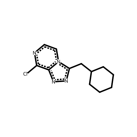 Clc1nccn2c(CC3CCCCC3)nnc12